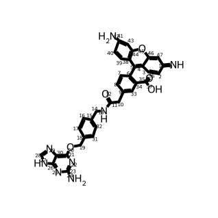 N=c1ccc2c(-c3ccc(CC(=O)NCc4ccc(COc5nc(N)nc6[nH]cnc56)cc4)cc3C(=O)O)c3ccc(N)cc3oc-2c1